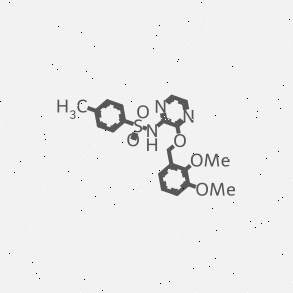 COc1cccc(COc2nccnc2NS(=O)(=O)c2ccc(C)cc2)c1OC